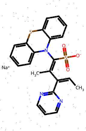 CC=C(C(C)=C(N1c2ccccc2Sc2ccccc21)S(=O)(=O)[O-])c1ncccn1.[Na+]